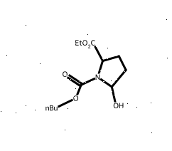 CCCCOC(=O)N1C(O)CCC1C(=O)OCC